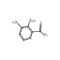 NC(=O)c1cccc([N+](=O)[O-])c1S(=O)(=O)O